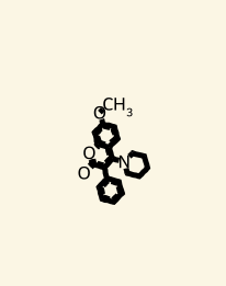 COc1ccc2c(N3CCCCC3)c(-c3ccccc3)c(=O)oc2c1